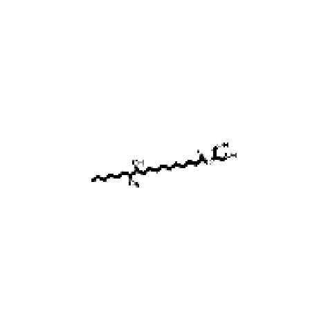 CCCCCCC(OC)C(O)CCCCCCCCCC(=O)OC(CO)CO